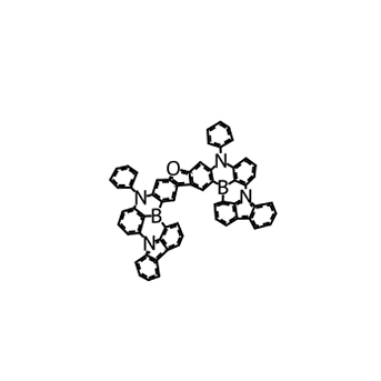 c1ccc(N2c3cc4oc5cc6c(cc5c4cc3B3c4c2cccc4-n2c4ccccc4c4cccc3c42)B2c3c(cccc3-n3c4ccccc4c4cccc2c43)N6c2ccccc2)cc1